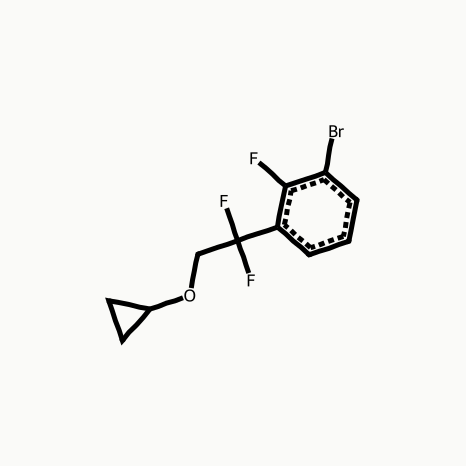 Fc1c(Br)cccc1C(F)(F)COC1CC1